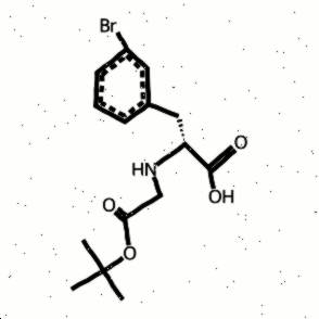 CC(C)(C)OC(=O)CN[C@H](Cc1cccc(Br)c1)C(=O)O